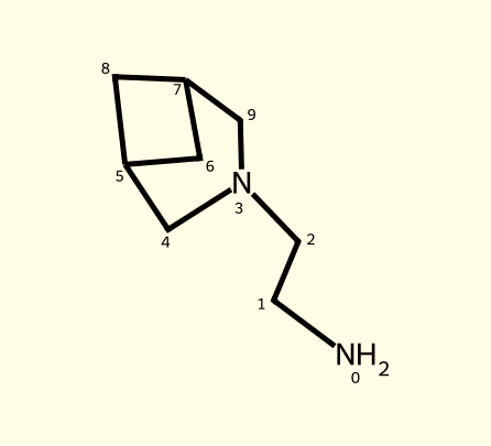 NCCN1CC2CC(C2)C1